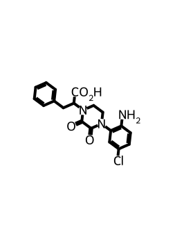 Nc1ccc(Cl)cc1N1CCN(C(Cc2ccccc2)C(=O)O)C(=O)C1=O